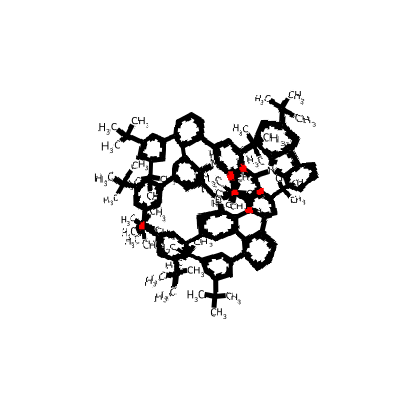 CC(C)(C)c1cc(-c2cc3c(c(-c4c(-c5cc(C(C)(C)C)cc(C(C)(C)C)c5)cccc4-c4cc(C(C)(C)C)cc(C(C)(C)C)c4)c2)Nc2cc(-n4c5ccccc5c5cc(C(C)(C)C)ccc54)cc4c2B3c2cc(-c3cc(C(C)(C)C)cc(C(C)(C)C)c3)cc(-c3c(-c5cc(C(C)(C)C)cc(C(C)(C)C)c5)cccc3-c3cc(C(C)(C)C)cc(C(C)(C)C)c3)c2N4)cc(C(C)(C)C)c1